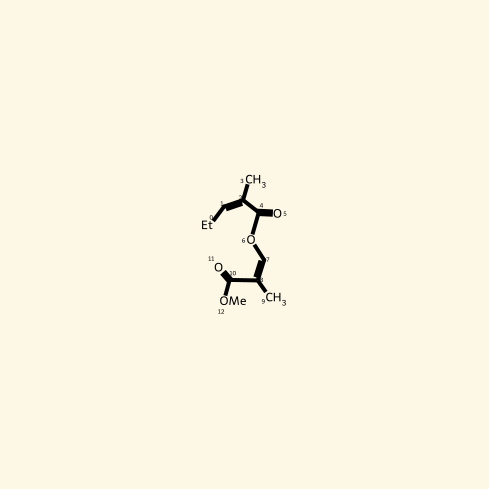 CCC=C(C)C(=O)OC=C(C)C(=O)OC